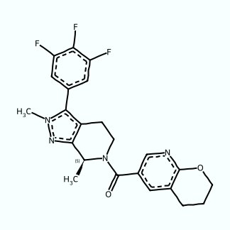 C[C@H]1c2nn(C)c(-c3cc(F)c(F)c(F)c3)c2CCN1C(=O)c1cnc2c(c1)CCCO2